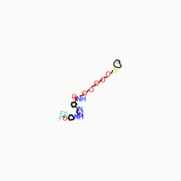 O=C(NCCOCCOCCOCCOCCOCCSC1CC/C=C/CCC1)c1cccc(-c2cc(Nc3ccc(OC(F)(F)F)cc3)ncn2)c1